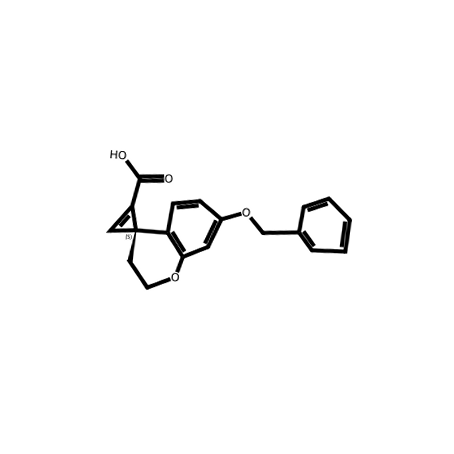 O=C(O)C1=C[C@]12CCOc1cc(OCc3ccccc3)ccc12